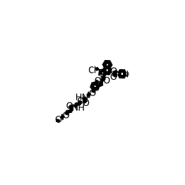 COCCOCCC(=O)NCCOC(=O)NCCOc1ccc2oc(C(=O)N3C[C@@H](CCl)c4c3cc(OC(=O)N3CCN(C)CC3)c3ccccc43)cc2c1